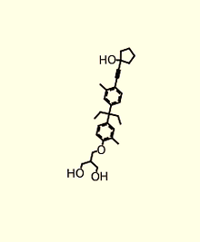 CCC(CC)(c1ccc(C#CC2(O)CCCC2)c(C)c1)c1ccc(OCC(CO)CO)c(C)c1